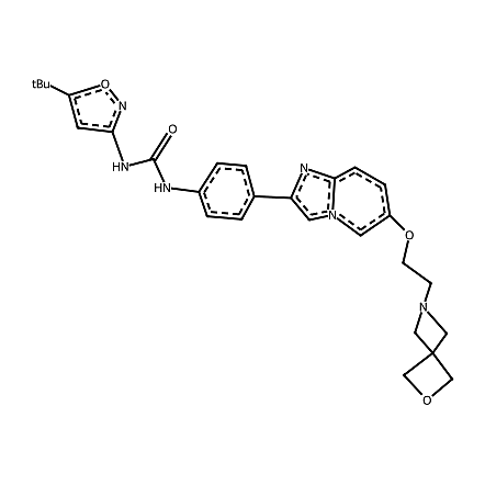 CC(C)(C)c1cc(NC(=O)Nc2ccc(-c3cn4cc(OCCN5CC6(COC6)C5)ccc4n3)cc2)no1